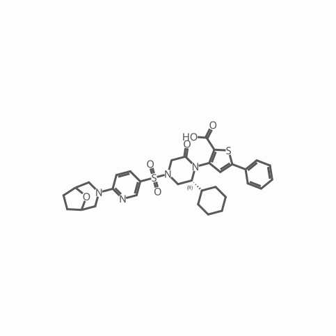 O=C(O)c1sc(-c2ccccc2)cc1N1C(=O)CN(S(=O)(=O)c2ccc(N3CC4CCC(C3)O4)nc2)C[C@H]1C1CCCCC1